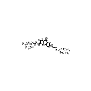 CCN(CC)CCCOc1ccc2c(c1)C(=O)c1ccc(OCCCN(CC)CC)cc1-2